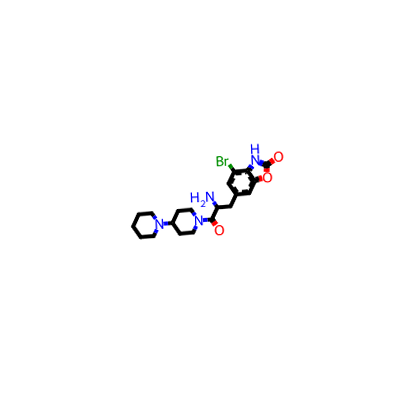 NC(Cc1cc(Br)c2[nH]c(=O)oc2c1)C(=O)N1CCC(N2CCCCC2)CC1